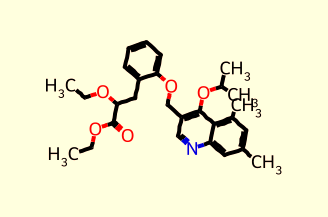 CCOC(=O)C(Cc1ccccc1OCc1cnc2cc(C)cc(C)c2c1OC(C)C)OCC